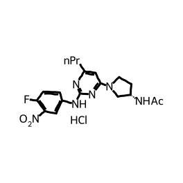 CCCc1cc(N2CC[C@H](NC(C)=O)C2)nc(Nc2ccc(F)c([N+](=O)[O-])c2)n1.Cl